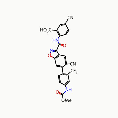 COC(=O)Nc1ccc(-c2cc3onc(C(=O)Nc4ccc(C#N)cc4C(=O)O)c3cc2C#N)c(C(F)(F)F)c1